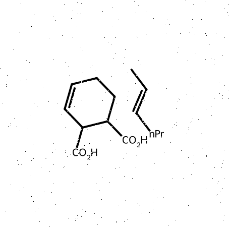 CC=CCCC.O=C(O)C1C=CCCC1C(=O)O